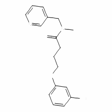 CN(Cc1cccnc1)C(=O)CCCSc1cccc(O)c1